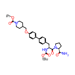 CC(C)OC(=O)N1CCC(COc2ccc(-c3ccc(C[C@H](NC(=O)OC(C)(C)C)C(=O)N4CCC[C@H]4C(N)=O)cc3)cc2)CC1